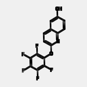 Oc1ccc2nc(Oc3c(F)c(F)c(F)c(F)c3F)ccc2c1